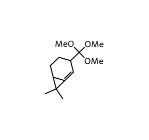 COC(OC)(OC)C1C=C2C(CC1)C2(C)C